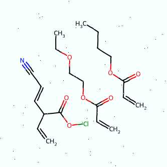 C=CC(=O)OCCCC.C=CC(=O)OCCOCC.C=CC(C=CC#N)C(=O)OCl